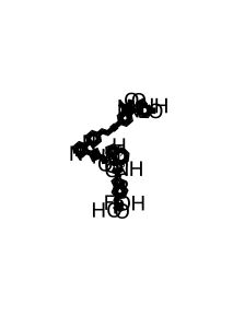 Cn1c(=O)n(C2CCC(=O)NC2=O)c2ccc(C#CCCC3CCN(c4ccncc4C4CN(C(=O)[C@@H]5CC[C@@H]6CCC[C@H](NC(=O)c7cc8cc(C(F)P(=O)(O)O)ccc8s7)C(=O)N65)C4)CC3)cc21